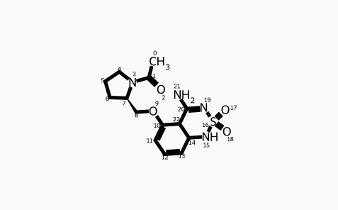 CC(=O)N1CCC[C@@H]1COC1=CC=CC2NS(=O)(=O)N=C(N)C12